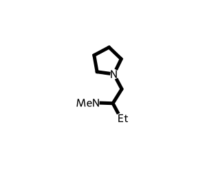 CCC(CN1CCCC1)NC